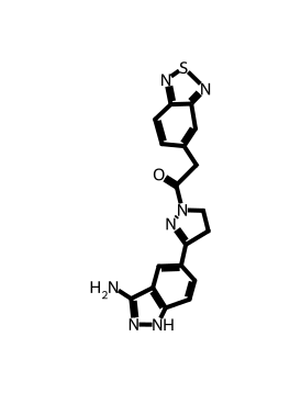 Nc1n[nH]c2ccc(C3=NN(C(=O)Cc4ccc5nsnc5c4)CC3)cc12